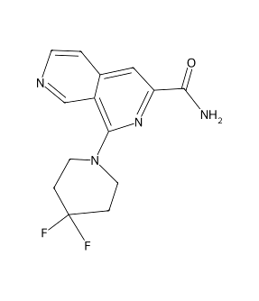 NC(=O)c1cc2ccncc2c(N2CCC(F)(F)CC2)n1